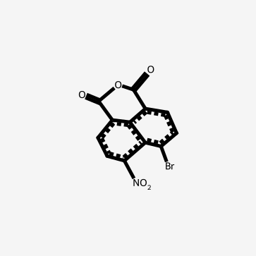 O=C1OC(=O)c2ccc([N+](=O)[O-])c3c(Br)ccc1c23